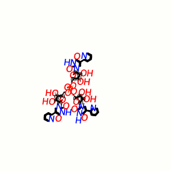 O=c1[nH]c(=O)n([C@@H]2O[C@H](COP(=O)(OC[C@H]3O[C@@H](n4cc(-c5ccccn5)c(=O)[nH]c4=O)[C@H](O)[C@@H]3O)OC[C@H]3O[C@@H](n4cc(-c5ccccn5)c(=O)[nH]c4=O)[C@H](O)[C@@H]3O)[C@@H](O)[C@H]2O)cc1-c1ccccn1